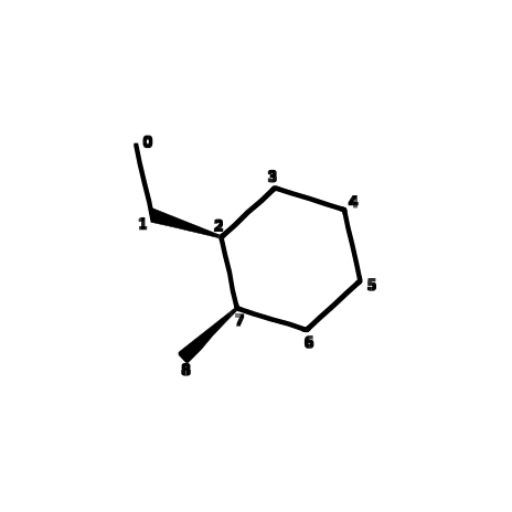 CC[C@H]1CCCC[C@H]1C